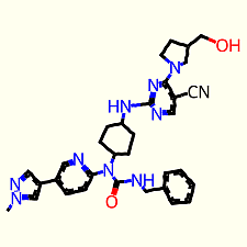 Cn1cc(-c2ccc(N(C(=O)NCc3ccccc3)C3CCC(Nc4ncc(C#N)c(N5CCC(CO)C5)n4)CC3)nc2)cn1